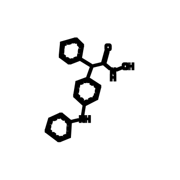 O=C(NO)C(c1ccccc1)c1ccc(Nc2ccccc2)cc1